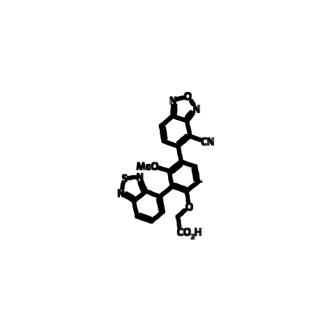 COc1c(-c2ccc3nonc3c2C#N)c[c]c(OCC(=O)O)c1-c1cccc2nsnc12